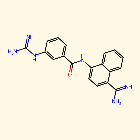 N=C(N)Nc1cccc(C(=O)Nc2ccc(C(=N)N)c3ccccc23)c1